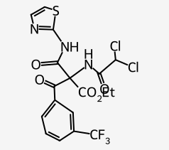 CCOC(=O)C(NC(=O)C(Cl)Cl)(C(=O)Nc1nccs1)C(=O)c1cccc(C(F)(F)F)c1